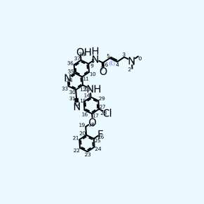 CN(C)C/C=C/C(=O)Nc1cc2c(Nc3ccc(OCc4ccccc4F)c(Cl)c3)c(C#N)cnc2cc1O